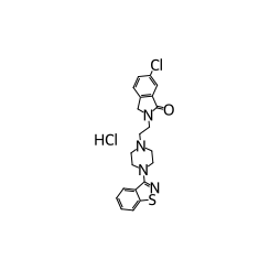 Cl.O=C1c2cc(Cl)ccc2CN1CCN1CCN(c2nsc3ccccc23)CC1